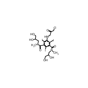 CN(CC(O)CO)C(=O)c1c(I)c(NCC(=O)CCl)c(I)c(C(=O)N(C)CC(O)CO)c1I